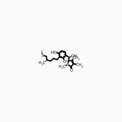 CC1=C(C)[C@@]2(Oc3c(ccc(O)c3CCC[C@@H](C)CSI)[C@H]2O)N(C)C1=O